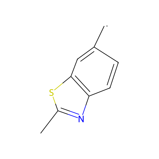 [CH2]c1ccc2nc(C)sc2c1